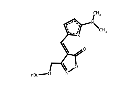 CCCCOCC1=NOC(=O)/C1=C\c1ccc(N(C)C)s1